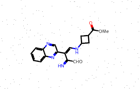 COC(=O)C1CC(N/C=C(\C(=N)C=O)c2cnc3ccccc3n2)C1